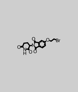 O=C1CCC(N2C(=O)c3ccc(OCCBr)cc3C2=O)C(=O)N1